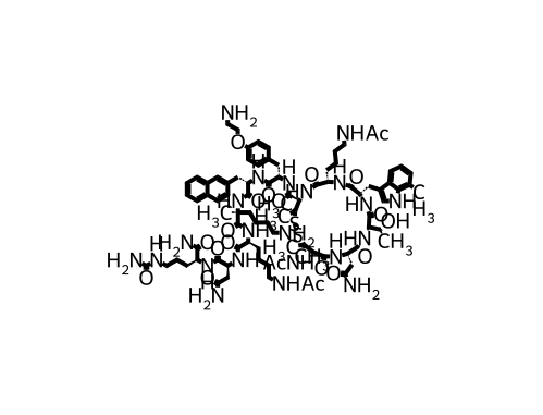 CC(=O)NCCCC[C@@H]1NC(=O)[C@H](Cc2c[nH]c3c(C)cccc23)NC(=O)[C@H]([C@@H](C)O)NC(=O)[C@H](CC(N)=O)NC(=O)[C@@H](NC(C)=O)C(C)(C)SSC(C)(C)[C@@H](C(=O)N[C@@H](Cc2ccc(OCCN)cc2)C(=O)N[C@@H](Cc2ccc3ccccc3c2)C(=O)N[C@@](C)(CCCCN)C(=O)N[C@@H](CCCCNC(C)=O)C(=O)N[C@@H](CC(N)=O)C(=O)N[C@@H](CCCNC(N)=O)C(N)=O)NC1=O